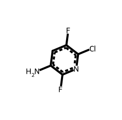 Nc1cc(F)c(Cl)nc1F